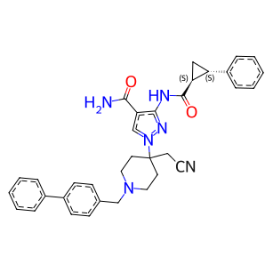 N#CCC1(n2cc(C(N)=O)c(NC(=O)[C@H]3C[C@@H]3c3ccccc3)n2)CCN(Cc2ccc(-c3ccccc3)cc2)CC1